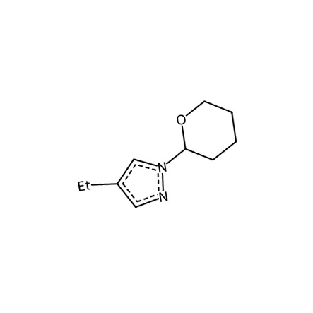 CCc1cnn(C2CCCCO2)c1